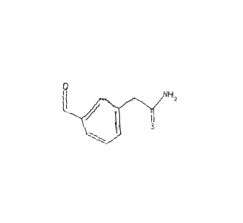 NC(=S)Cc1cccc(C=O)c1